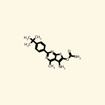 Cc1nc(-c2ccc(C(C)(C)C)cc2)nc2sc(OC(N)=O)c(N)c12